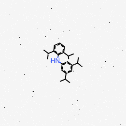 CC(C)c1[c]c(C(C)C)cc(Nc2c(C(C)C)cccc2C(C)C)c1